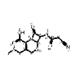 CSCC1=C(C(=O)O)N2C(=O)C(NC(=O)CC#N)C2SC1